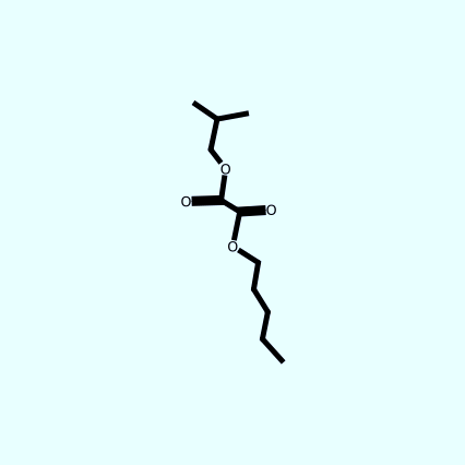 CCCCCOC(=O)C(=O)OCC(C)C